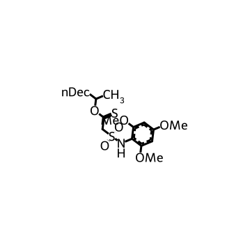 CCCCCCCCCCC(C)OC(=S)CS(=O)(=O)Nc1c(OC)cc(OC)cc1OC